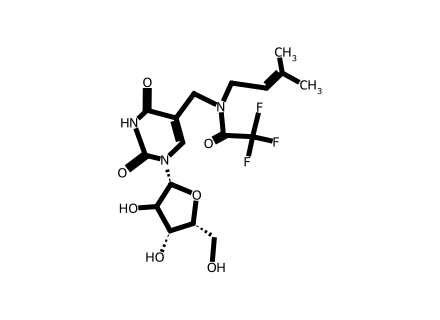 CC(C)=CCN(Cc1cn([C@@H]2O[C@H](CO)[C@H](O)C2O)c(=O)[nH]c1=O)C(=O)C(F)(F)F